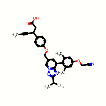 CC#CC(CC(=O)O)c1ccc(OCc2cc(-c3c(C)cc(OCC#N)cc3C)c3nc(C(C)C)nn3c2)cc1